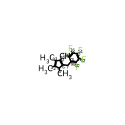 CC1=C(C)C(C)C(Cc2c(F)c(F)c(F)c(F)c2F)=C1C